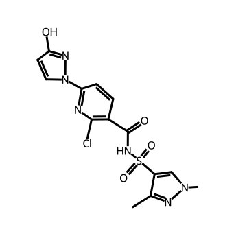 Cc1nn(C)cc1S(=O)(=O)NC(=O)c1ccc(-n2ccc(O)n2)nc1Cl